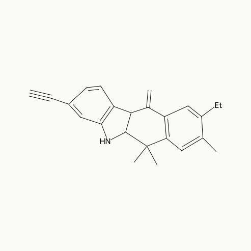 C#Cc1ccc2c(c1)NC1C2C(=C)c2cc(CC)c(C)cc2C1(C)C